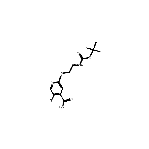 CC(C)(C)OC(=O)NCCSc1cc(C(=O)O)c(Cl)cn1